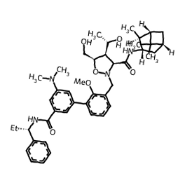 CC[C@H](NC(=O)c1cc(-c2cccc(CN3O[C@@H](CO)[C@@H]([C@H](C)O)[C@H]3C(=O)N[C@H]3C[C@H]4C[C@@H]([C@@H]3C)C4(C)C)c2OC)cc(N(C)C)c1)c1ccccc1